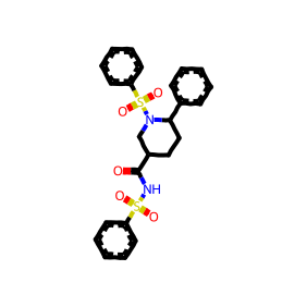 O=C(NS(=O)(=O)c1ccccc1)C1CCC(c2ccccc2)N(S(=O)(=O)c2ccccc2)C1